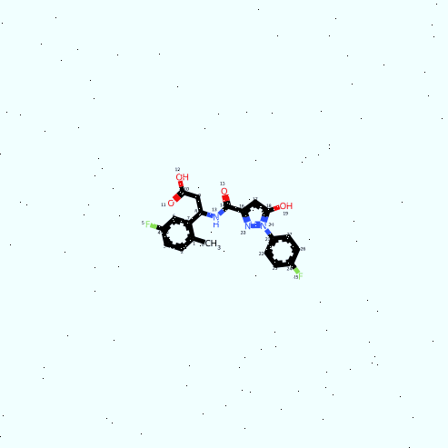 Cc1ccc(F)cc1C(CC(=O)O)NC(=O)c1cc(O)n(-c2ccc(F)cc2)n1